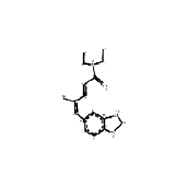 CCN(CC)C(=O)C=CC(C)=Cc1ccc2c(c1)OCO2